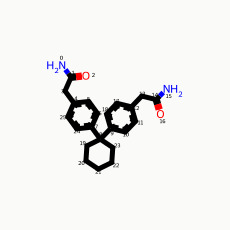 NC(=O)Cc1ccc(C2(c3ccc(CC(N)=O)cc3)CCCCC2)cc1